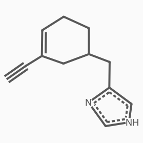 C#CC1=CCCC(Cc2c[nH]cn2)C1